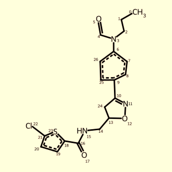 CCCN(C=O)c1ccc(C2=NOC(CNC(=O)c3ccc(Cl)s3)C2)cc1